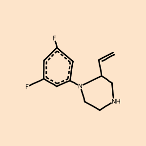 C=CC1CNCCN1c1cc(F)cc(F)c1